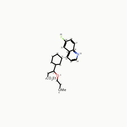 CCOC(=O)CC(OCCOC)C1CCC[C@H](c2ccnc3ccc(F)cc23)C1